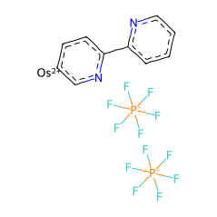 F[P-](F)(F)(F)(F)F.F[P-](F)(F)(F)(F)F.[Os+2].c1ccc(-c2ccccn2)nc1